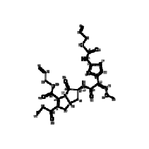 C=CCOC(=O)Nc1nc(/C(=N/OC)C(=O)N[C@H]2CN3CC(C(=O)CF)=C(C(=O)OCC=C)N3C2=O)cs1